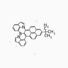 CC(C)(C)c1cc2ccc3c4c5c(c6ccc(c1)c2c36)-n1ccc2cccc(c21)B5n1ccc2cccc-4c21